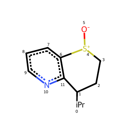 CC(C)C1CC[S+]([O-])c2cccnc21